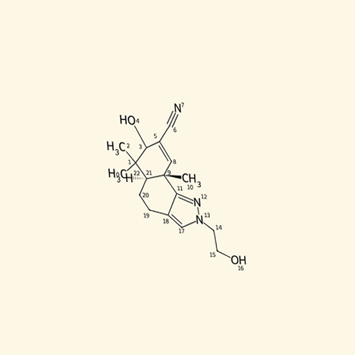 CC1(C)C(O)C(C#N)=C[C@]2(C)c3nn(CCO)cc3CC[C@@H]12